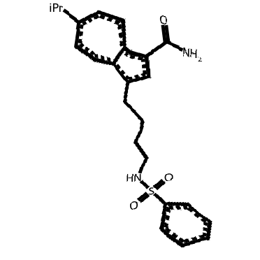 CC(C)c1ccc2c(CCCCNS(=O)(=O)c3ccccc3)cc(C(N)=O)c-2cc1